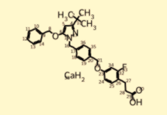 CC(C)(C)c1cc(OCc2ccccc2)n(Cc2ccc(COc3ccc(CCC(=O)O)c(F)c3)cc2)n1.[CaH2]